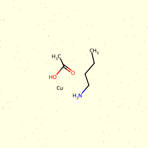 CC(=O)O.CCCCN.[Cu]